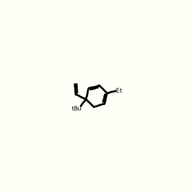 C=CC1(C(C)(C)C)C=CC(CC)=CC1